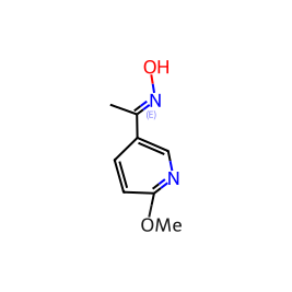 COc1ccc(/C(C)=N/O)cn1